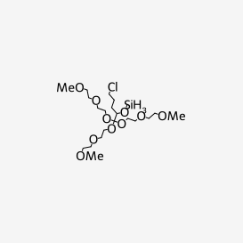 COCCOCCOC(OCCOCCOC)(OCCOCCOC)C(CCCCl)O[SiH3]